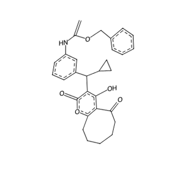 C=C(Nc1cccc(C(c2c(O)c3c(oc2=O)CCCCCC3=O)C2CC2)c1)OCc1ccccc1